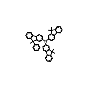 CC1(C)c2ccccc2-c2ccc(N(c3ccc4c(c3)C(C)(C)c3ccccc3-4)c3ccc4c(c3)C(C)(c3ccccc3)c3ccccc3-4)cc21